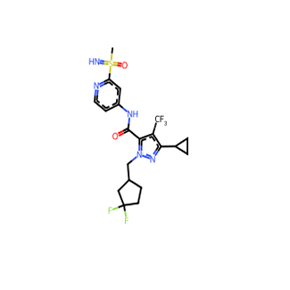 CS(=N)(=O)c1cc(NC(=O)c2c(C(F)(F)F)c(C3CC3)nn2CC2CCC(F)(F)C2)ccn1